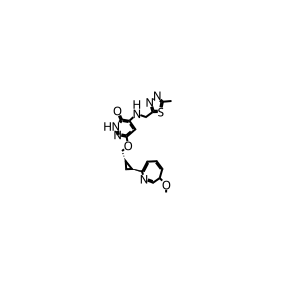 COC1C=CC=C([C@H]2C[C@@H]2COc2cc(NCc3nnc(C)s3)c(=O)[nH]n2)N=C1